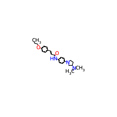 CCCOc1ccc(/C=C/C(=O)Nc2ccc(N3CCC(N(C)C)C3)cc2)cc1